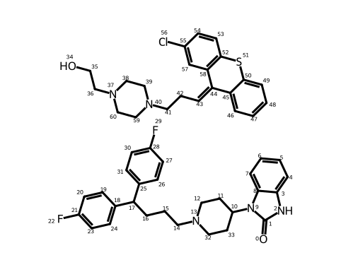 O=c1[nH]c2ccccc2n1C1CCN(CCCC(c2ccc(F)cc2)c2ccc(F)cc2)CC1.OCCN1CCN(CC/C=C2/c3ccccc3Sc3ccc(Cl)cc32)CC1